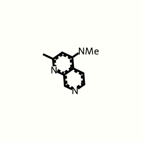 CNc1cc(C)nc2cnccc12